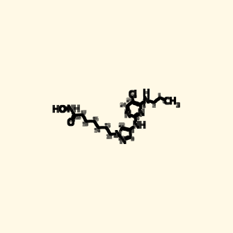 CCCNc1nc(Nc2cnn(CCCCCCC(=O)NO)c2)ncc1Cl